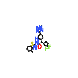 Cc1cccc2sc(NC(=O)[C@H](c3ccc(-c4nnn(C)n4)cc3)[C@H]3CCC(F)(F)C3)nc12